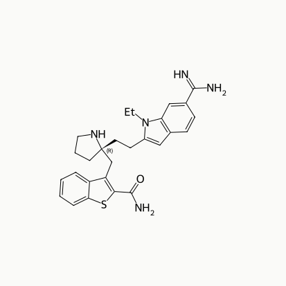 CCn1c(CC[C@@]2(Cc3c(C(N)=O)sc4ccccc34)CCCN2)cc2ccc(C(=N)N)cc21